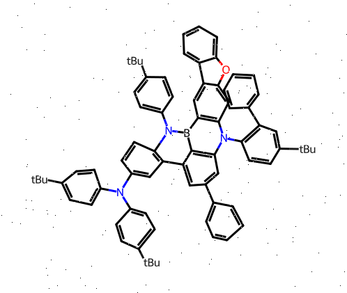 CC(C)(C)c1ccc(N2B3c4cc5c(cc4N(c4ccc(C(C)(C)C)cc4-c4ccccc4)c4cc(-c6ccccc6)cc(c43)-c3cc(N(c4ccc(C(C)(C)C)cc4)c4ccc(C(C)(C)C)cc4)ccc32)oc2ccccc25)cc1